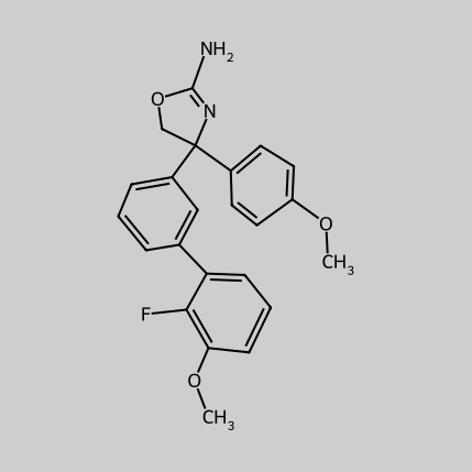 COc1ccc(C2(c3cccc(-c4cccc(OC)c4F)c3)COC(N)=N2)cc1